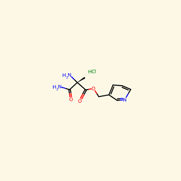 C[C@](N)(C(N)=O)C(=O)OCc1cccnc1.Cl